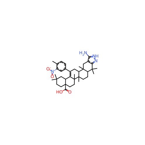 Cc1ccc(C2=C3C4CC(C)(C)CCC4(C(=O)O)CCC3(C)C3(C)CCC4C(C)(C)c5n[nH]c(N)c5CC4(C)C3C2)cc1[N+](=O)[O-]